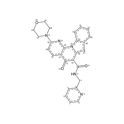 O=C(NCc1ccccn1)c1c(=O)c2ccc(N3CCOCC3)nc2n2c1sc1ccccc12